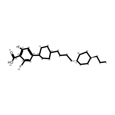 CCC[C@H]1CC[C@H](CCCCC2CCC(c3cc(F)c(C(=O)O)c(F)c3)CC2)CC1